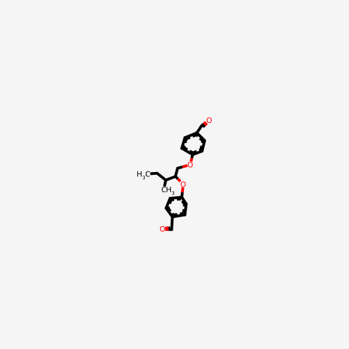 CCC(C)C(COc1ccc(C=O)cc1)Oc1ccc(C=O)cc1